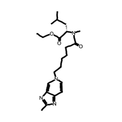 CCOC(=O)[C@H](CC(C)C)N(C)C(=O)CCCCCn1ccc2nc(C)nc-2c1